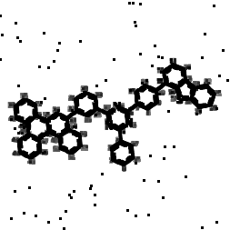 c1ccc(-c2nc(-c3ccc(-c4cccc5c4sc4ccccc45)cc3)nc(-c3cccc(-c4cc5c6ccccc6c6ccccc6c5c5ccccc45)c3)n2)cc1